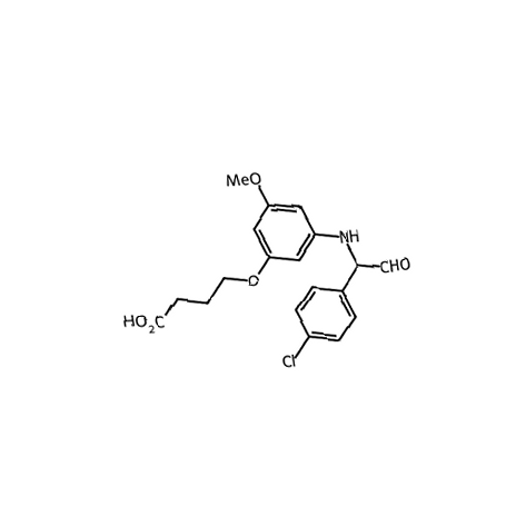 COc1cc(NC(C=O)c2ccc(Cl)cc2)cc(OCCCC(=O)O)c1